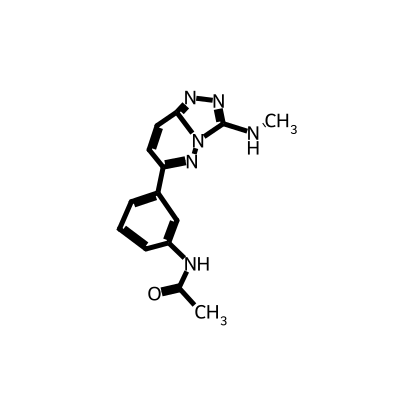 CNc1nnc2ccc(-c3cccc(NC(C)=O)c3)nn12